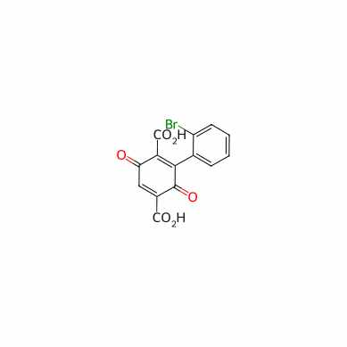 O=C(O)C1=CC(=O)C(C(=O)O)=C(c2ccccc2Br)C1=O